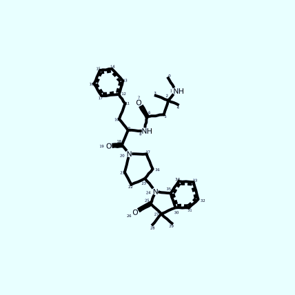 CNC(C)(C)CC(=O)NC(CCc1ccccc1)C(=O)N1CCC(N2C(=O)C(C)(C)c3ccccc32)CC1